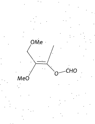 COC/C(OC)=C(\C)OC=O